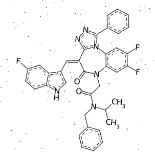 CC(C)N(Cc1ccccc1)C(=O)CN1C(=O)C(=Cc2c[nH]c3ccc(F)cc23)c2nnc(-c3ccccc3)n2-c2cc(F)c(F)cc21